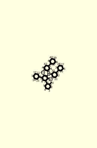 Cc1ccccc1-c1cc(-c2ccccc2)c2c3c1Oc1ccc(-c4ccccc4)cc1B3c1cc(-c3ccccc3)ccc1O2